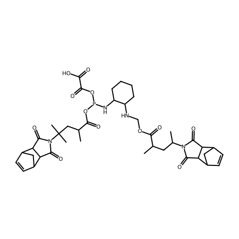 CC(CC(C)N1C(=O)C2C3C=CC(C3)C2C1=O)C(=O)OCNC1CCCCC1NP(OC(=O)C(=O)O)OC(=O)C(C)CC(C)(C)N1C(=O)C2C3C=CC(C3)C2C1=O